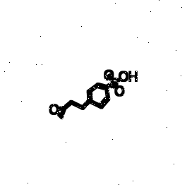 O=S(=O)(O)c1ccc(CCC2CO2)cc1